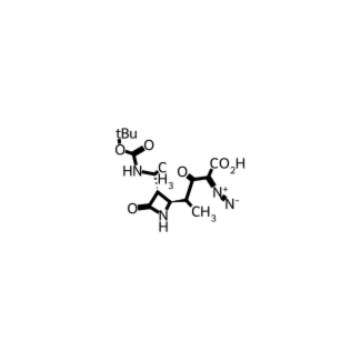 CC(C(=O)C(=[N+]=[N-])C(=O)O)[C@H]1NC(=O)[C@@H]1C(C)NC(=O)OC(C)(C)C